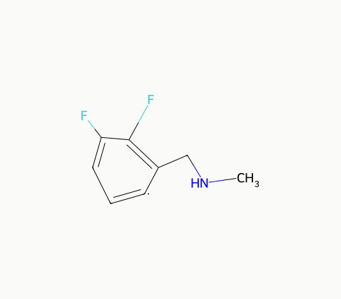 CNCc1[c]ccc(F)c1F